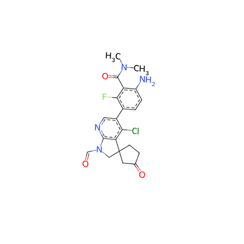 CN(C)C(=O)c1c(N)ccc(-c2cnc3c(c2Cl)C2(CCC(=O)C2)CN3C=O)c1F